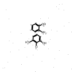 Nc1cccc(O)c1Cl.Nc1ccccc1O